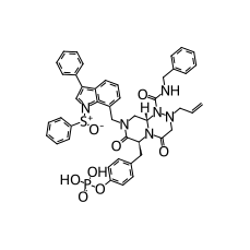 C=CCN1CC(=O)N2[C@@H](Cc3ccc(OP(=O)(O)O)cc3)C(=O)N(Cc3cccc4c(-c5ccccc5)cn([S@+]([O-])c5ccccc5)c34)C[C@@H]2N1C(=O)NCc1ccccc1